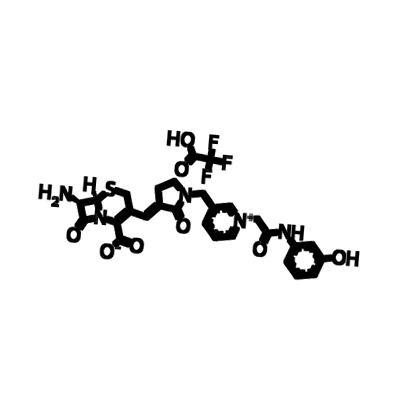 N[C@@H]1C(=O)N2C(C(=O)[O-])=C(/C=C3\CCN(Cc4ccc[n+](CC(=O)Nc5cccc(O)c5)c4)C3=O)CS[C@H]12.O=C(O)C(F)(F)F